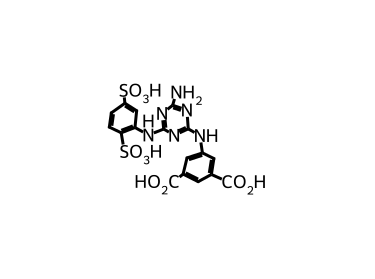 Nc1nc(Nc2cc(C(=O)O)cc(C(=O)O)c2)nc(Nc2cc(S(=O)(=O)O)ccc2S(=O)(=O)O)n1